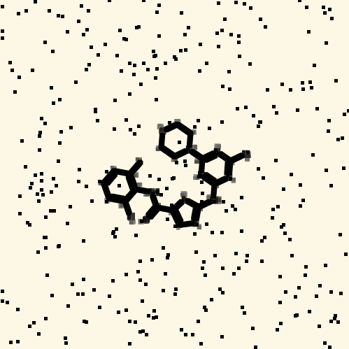 CCc1nc(Nc2ncc(C(=O)Nc3c(C)cccc3Cl)s2)nc(N2CCOCC2)n1